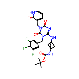 CC(C)(C)OC(=O)NC12CC(Nc3nc(=O)n(Cc4ccc[nH]c4=O)c(=O)n3Cc3cc(F)c(F)c(F)c3)(C1)C2